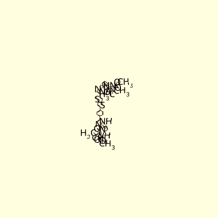 COC(=O)N[C@H](C(=O)N1CC=C[C@H]1c1ncc(-c2ccc(-c3cc4sc(-c5cnc([C@@H]6C=CCN6C(=O)[C@@H](NC(=O)OC)C(C)C)[nH]5)cc4s3)cc2)[nH]1)C(C)C